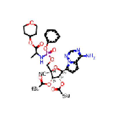 CC(NP(=O)(OC[C@@]1(C#N)O[C@@H](c2ccc3c(N)ncnn23)[C@H](OC(=O)C(C)(C)C)[C@@H]1OC(=O)C(C)(C)C)Oc1ccccc1)C(=O)OC1CCOCC1